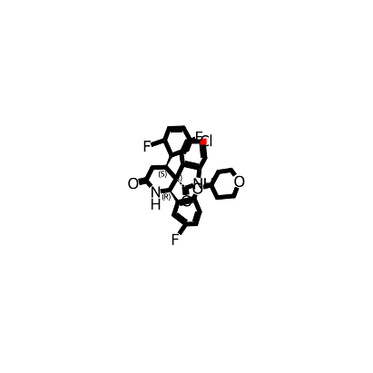 O=C1C[C@@H](C2C=C(F)C=CC2F)[C@]2(C(=O)Nc3cc(Cl)ccc32)[C@@H](c2cc(F)ccc2OC2CCOCC2)N1